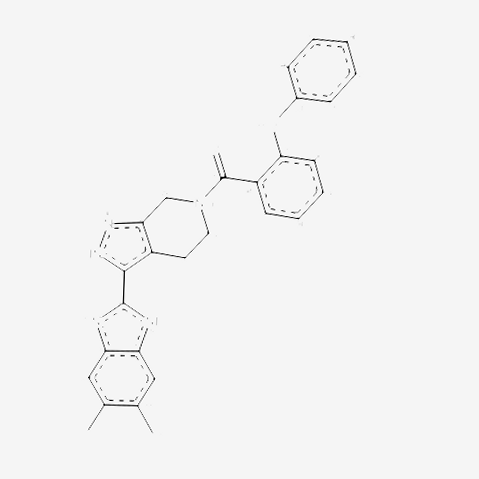 Cc1cc2nc(-c3[nH]nc4c3CCN(C(=O)c3ccccc3Oc3ccccc3)C4)[nH]c2cc1C